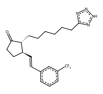 O=C1CC[C@H](C=Cc2cccc(C(F)(F)F)c2)[C@H]1CCCCCCc1nn[nH]n1